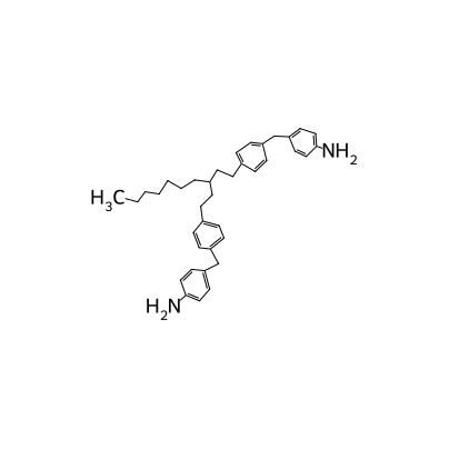 CCCCCCCC(CCc1ccc(Cc2ccc(N)cc2)cc1)CCc1ccc(Cc2ccc(N)cc2)cc1